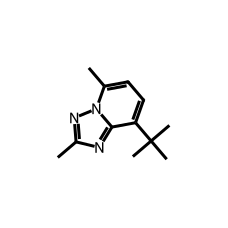 Cc1nc2c(C(C)(C)C)ccc(C)n2n1